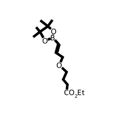 CCOC(=O)CCCOC/C=C/B1OC(C)(C)C(C)(C)O1